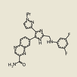 CC(C)n1ccc(-c2nc(CNc3cc(F)cc(F)c3)[nH]c2-c2ccc3ncc(C(N)=O)nc3c2)n1